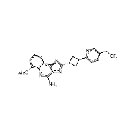 COc1cccc2c1nc(N)n1nc([C@H]3C[C@H](c4ccc(CC(F)(F)F)cn4)C3)nc21